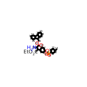 CCOC(=O)C(c1ccc(OS(=O)(=O)c2ccc(C)cc2)cc1)C(N)C(=O)OCC1c2ccccc2-c2ccccc21